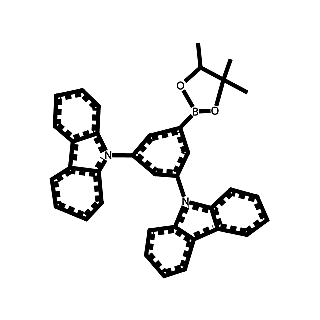 CC1OB(c2cc(-n3c4ccccc4c4ccccc43)cc(-n3c4ccccc4c4ccccc43)c2)OC1(C)C